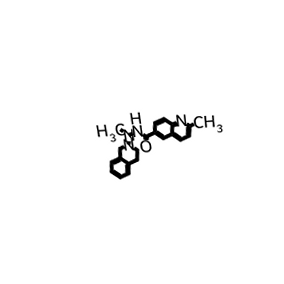 Cc1ccc2cc(C(=O)NN(C)N3CCc4ccccc4C3)ccc2n1